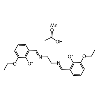 CC(=O)O.CCOc1cccc(C=NCCN=Cc2cccc(OCC)c2[O-])c1[O-].[Mn]